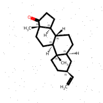 C=C[C@H]1CC[C@@]2(C)[C@@H](CC[C@@H]3[C@@H]2CC[C@]2(C)C(=O)CC[C@@H]32)C1